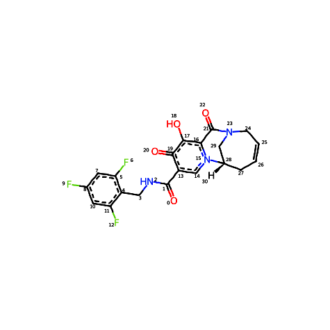 O=C(NCc1c(F)cc(F)cc1F)c1cn2c(c(O)c1=O)C(=O)N1CC=CC[C@H]2C1